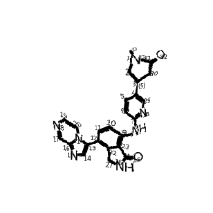 CN1C[C@H](c2ccc(Nc3ccc(-c4cnc5cnccn45)c4c3C(=O)NC4)nc2)CC1=O